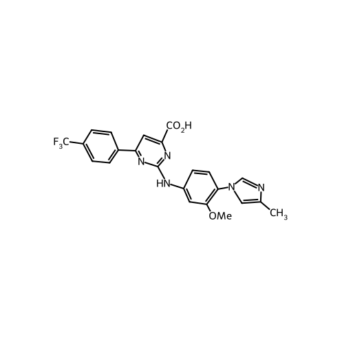 COc1cc(Nc2nc(C(=O)O)cc(-c3ccc(C(F)(F)F)cc3)n2)ccc1-n1cnc(C)c1